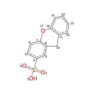 O=S(=O)(O)c1ccc2c(c1)Cc1ccccc1O2